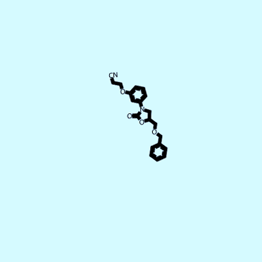 N#CCCOc1cccc(N2CC(COCc3ccccc3)OC2=O)c1